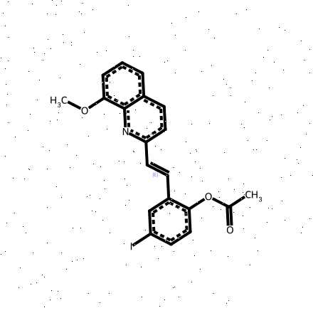 COc1cccc2ccc(/C=C/c3cc(I)ccc3OC(C)=O)nc12